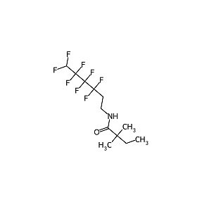 CCC(C)(C)C(=O)NCCC(F)(F)C(F)(F)C(F)(F)C(F)F